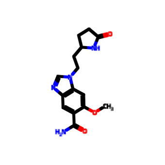 COc1cc2c(cc1C(N)=O)ncn2CCC1CCC(=O)N1